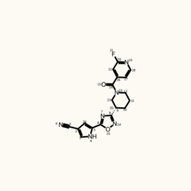 N#Cc1c[nH]c(-c2nc([C@H]3CCCN(C(=O)c4ccnc(F)c4)C3)no2)c1